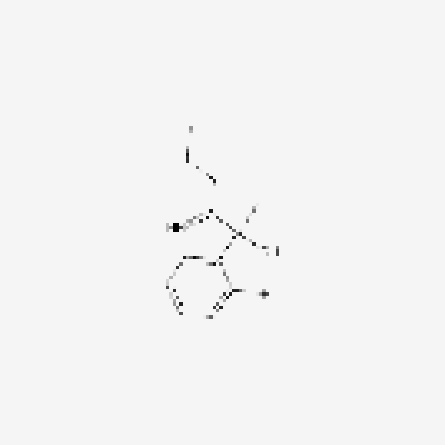 [CH2][C@@](O)(C(=N)CCC)c1ccccc1F